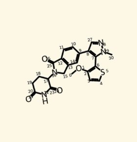 COc1ccsc1-c1c(-c2ccc3c(c2)CN(C2CCC(=O)NC2=O)C3=O)cnn1C